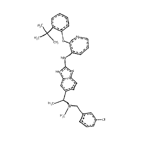 CC(c1ccc2nc(Nc3cccnc3Oc3ccccc3C(C)(C)C)[nH]c2c1)N(C)Cc1cccc(Cl)c1